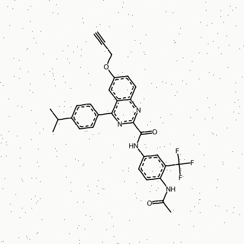 C#CCOc1ccc2nc(C(=O)Nc3ccc(NC(C)=O)c(C(F)(F)F)c3)nc(-c3ccc(C(C)C)cc3)c2c1